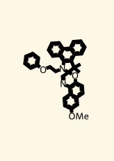 COc1ccc2c3c(ccc2c1)OC1(C=N3)N(CCOc2ccccc2)c2c(c3ccccc3c3ccccc23)C1(C)C